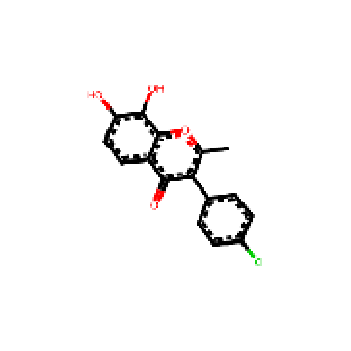 Cc1oc2c(O)c(O)ccc2c(=O)c1-c1ccc(Cl)cc1